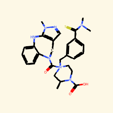 CC1C[N+](Cc2cccc(C(=S)N(C)C)c2)(C(=O)N2Cc3cnn(C)c3Nc3ccccc32)CCN1C(=O)O